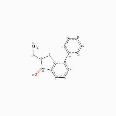 CCC1Cc2c(cccc2-c2ccccc2)C1=O